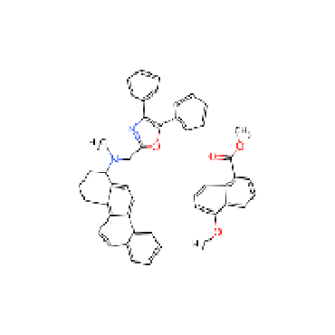 CN(Cc1nc(-c2ccccc2)c(-c2ccccc2)o1)C1CCCc2c1ccc1c2ccc2ccccc21.COC(=O)c1cccc2c(OC)cccc12